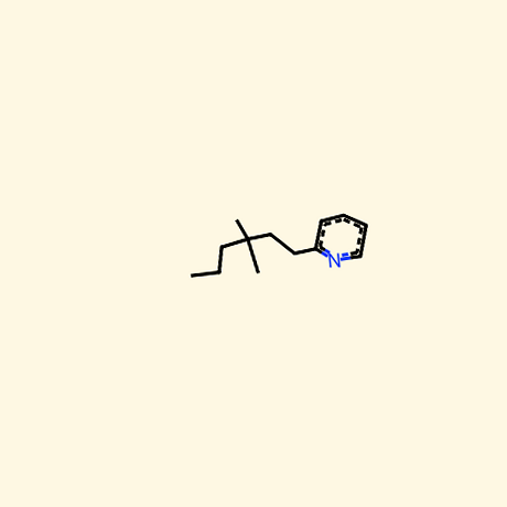 CCCC(C)(C)CCc1ccccn1